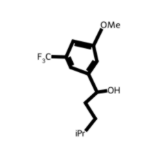 COc1cc(C(O)CCC(C)C)cc(C(F)(F)F)c1